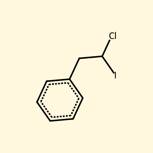 ClC(I)Cc1ccccc1